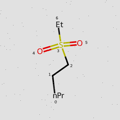 [CH2]CCCCS(=O)(=O)C[CH2]